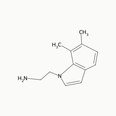 Cc1ccc2ccn(CCN)c2c1C